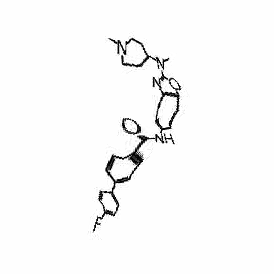 CN1CCC(N(C)c2nc3cc(NC(=O)c4ccc(-c5ccc(F)cc5)cc4)ccc3o2)CC1